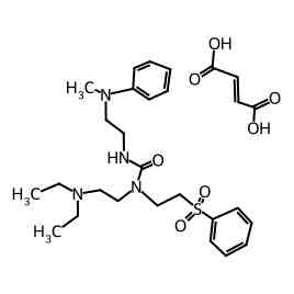 CCN(CC)CCN(CCS(=O)(=O)c1ccccc1)C(=O)NCCN(C)c1ccccc1.O=C(O)/C=C/C(=O)O